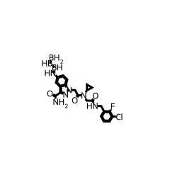 BBBNc1ccc2c(c1)c(C(N)=O)nn2CC(=O)N(CC(=O)NCc1cccc(Cl)c1F)C1CC1